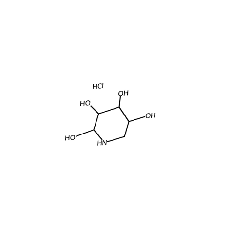 Cl.OC1CNC(O)C(O)C1O